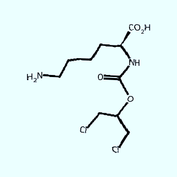 NCCCC[C@H](NC(=O)OC(CCl)CCl)C(=O)O